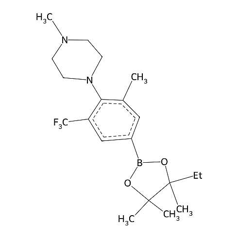 CCC1(C)OB(c2cc(C)c(N3CCN(C)CC3)c(C(F)(F)F)c2)OC1(C)C